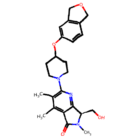 Cc1c(N2CCC(Oc3ccc4c(c3)COC4)CC2)nc2c(c1C)C(=O)N(C)[C@@H]2CO